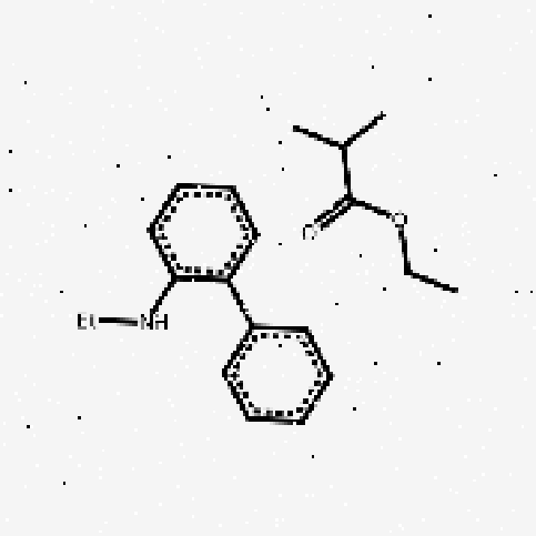 CCNc1ccccc1-c1ccccc1.CCOC(=O)C(C)C